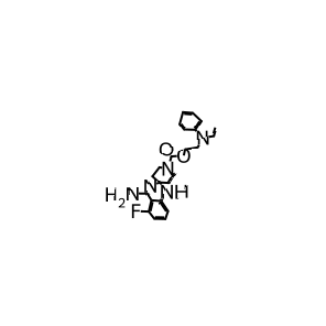 CCN(CCOC(=O)N1CCC2(CC1)N=C(N)c1c(F)cccc1N2)c1ccccc1